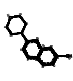 Oc1ccc2ccc(C3CCOCC3)cc2c1